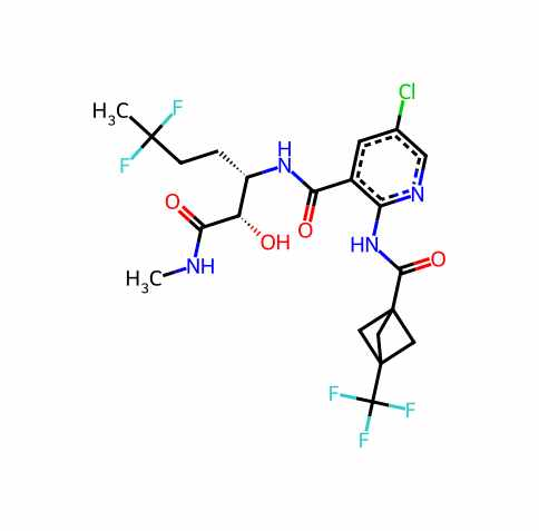 CNC(=O)[C@@H](O)[C@H](CCC(C)(F)F)NC(=O)c1cc(Cl)cnc1NC(=O)C12CC(C(F)(F)F)(C1)C2